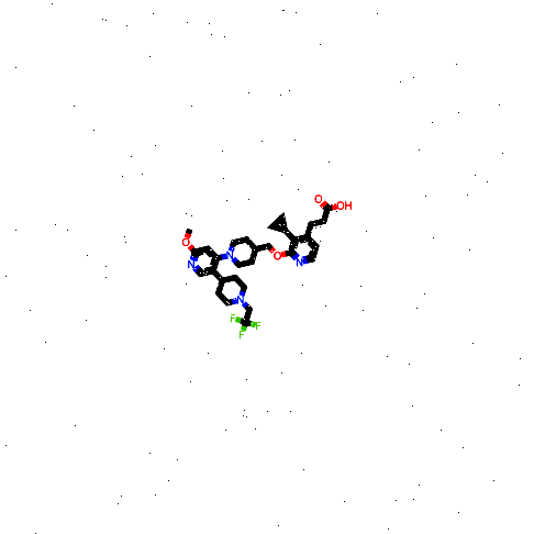 COc1cc(N2CCC(COc3nccc(CCC(=O)O)c3C3CC3)CC2)c(C2CCN(CC(F)(F)F)CC2)cn1